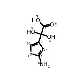 Nc1nc(C(O)(O)C(=O)O)cs1